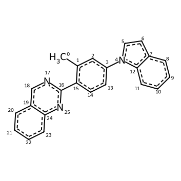 Cc1cc(-n2ccc3ccccc32)ccc1-c1ncc2ccccc2n1